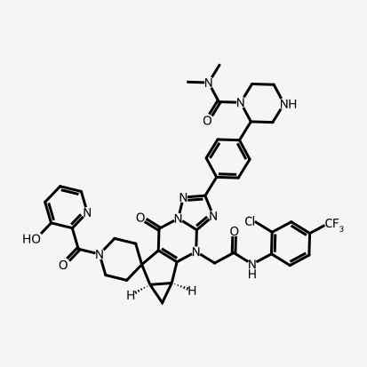 CN(C)C(=O)N1CCNCC1c1ccc(-c2nc3n(CC(=O)Nc4ccc(C(F)(F)F)cc4Cl)c4c(c(=O)n3n2)C2(CCN(C(=O)c3ncccc3O)CC2)[C@@H]2C[C@H]42)cc1